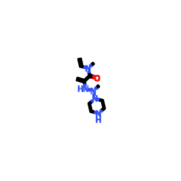 C=CN(C)C(=O)C(=C)NN(C)N1CCNCC1